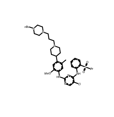 CCCCN1CCN(CCCN2CCC(c3cc(OC)c(Nc4ncc(Cl)c(Nc5ccccc5S(=O)(=O)C(C)C)n4)cc3C)CC2)CC1